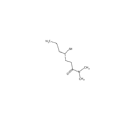 CCCC(S)CCC(=O)N(C)C